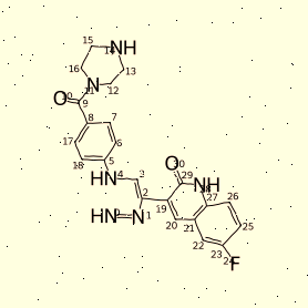 N=N/C(=C\Nc1ccc(C(=O)N2CCNCC2)cc1)c1cc2cc(F)ccc2[nH]c1=O